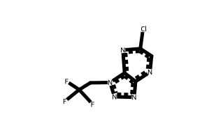 FC(F)(F)Cn1nnc2ncc(Cl)nc21